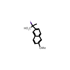 COc1ccc2cc(C(C)(I)C(=O)O)ccc2c1